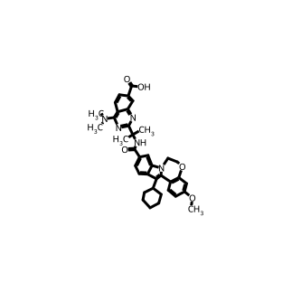 COc1ccc2c(c1)OCCn1c-2c(C2CCCCC2)c2ccc(C(=O)NC(C)(C)c3nc(N(C)C)c4ccc(C(=O)O)cc4n3)cc21